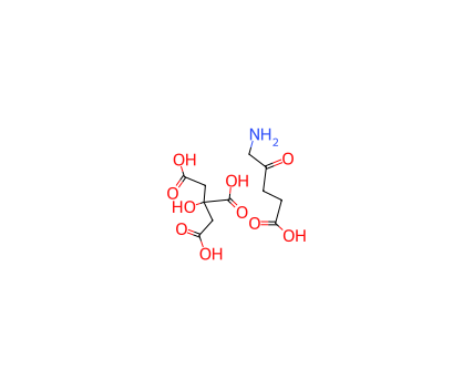 NCC(=O)CCC(=O)O.O=C(O)CC(O)(CC(=O)O)C(=O)O